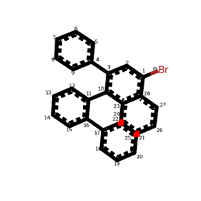 Brc1cc(-c2ccccc2)c(-c2ccccc2-c2ccccc2)c2ccccc12